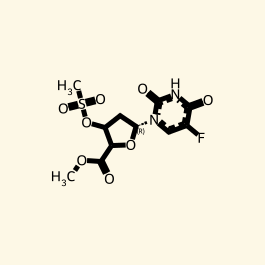 COC(=O)C1O[C@@H](n2cc(F)c(=O)[nH]c2=O)CC1OS(C)(=O)=O